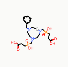 O=C(O)CCP(=O)(O)CN1CCN(Cc2ccccc2)CCN(CP(=O)(O)CCC(=O)O)CC1